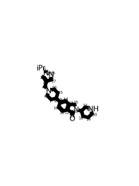 CC(C)n1cc(CN2CCC(c3ccc4c(c3)CN(C3CCCNC3)C4=O)CC2)cn1